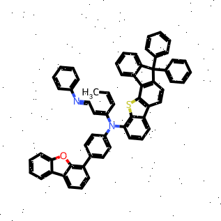 C\C=C/C(=C\C=N\c1ccccc1)N(c1ccc(-c2cccc3c2oc2ccccc23)cc1)c1cccc2c1sc1c3c(ccc12)C(c1ccccc1)(c1ccccc1)c1ccccc1-3